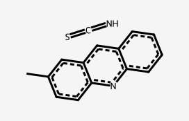 Cc1ccc2nc3ccccc3cc2c1.N=C=S